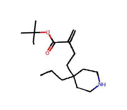 C=C(CCC1(CCC)CCNCC1)C(=O)OC(C)(C)C